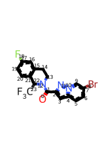 O=C(c1cc2ccc(Br)cn2n1)N1CCc2cc(F)ccc2C1C(F)(F)F